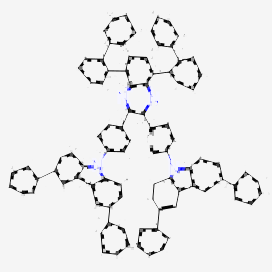 C1=C(c2ccccc2)CCc2c1c1cc(-c3ccccc3)ccc1n2-c1ccc(-c2nc3c(-c4ccccc4-c4ccccc4)ccc(-c4ccccc4-c4ccccc4)c3nc2-c2ccc(-n3c4ccc(-c5ccccc5)cc4c4cc(-c5ccccc5)ccc43)cc2)cc1